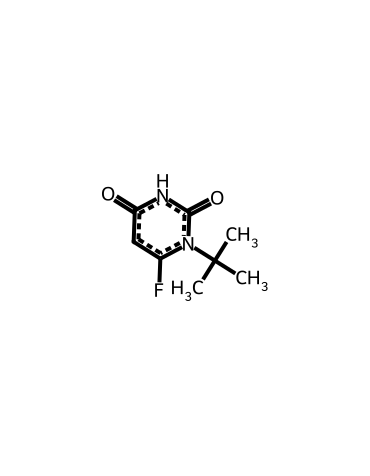 CC(C)(C)n1c(F)cc(=O)[nH]c1=O